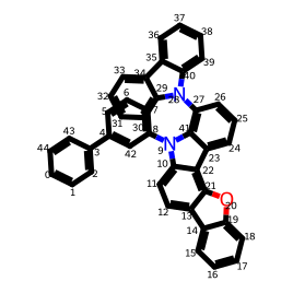 c1ccc(-c2cccc(-n3c4ccc5c6ccccc6oc5c4c4cccc(-n5c6ccccc6c6ccccc65)c43)c2)cc1